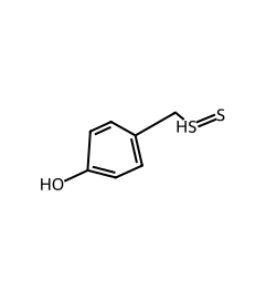 Oc1ccc(C[SH]=S)cc1